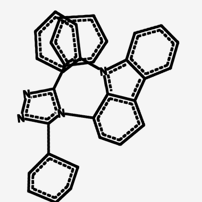 c1ccc(-c2nnc(-c3ccccc3)n2-c2cccc3c4ccccc4n(-c4ccccc4)c23)cc1